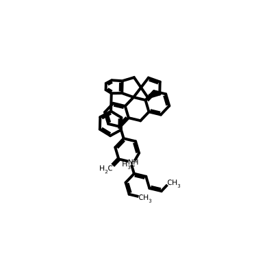 C=C(/C=C(\C=C/C)c1cccc2c1Cc1ccccc1C21c2c(cccc2-c2ccccc2)CC12C=CC=C2)NC(/C=C\C)=C/C=C\C